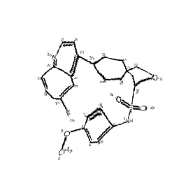 COc1ccc(NS(=O)(=O)C2OCC23CCC(c2ccnc4ccc(F)cc24)CC3)cc1